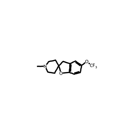 CN1CCC2(CC1)Cc1cc(OC(F)(F)F)ccc1O2